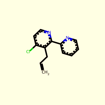 C=CCc1c(Cl)ccnc1-c1ccccn1